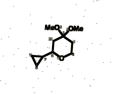 COC1(OC)CCOC(C2CC2)C1